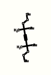 CCCCC(C)(C#CC(C)(CCCC)OOC(C)(C)C)OOC(C)(C)C